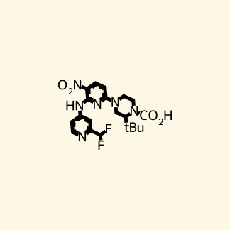 CC(C)(C)C1CN(c2ccc([N+](=O)[O-])c(Nc3ccnc(C(F)F)c3)n2)CCN1C(=O)O